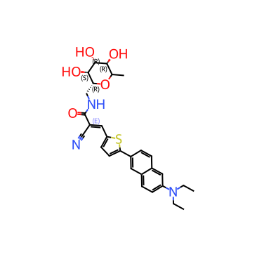 CCN(CC)c1ccc2cc(-c3ccc(/C=C(\C#N)C(=O)NC[C@H]4OC(C)[C@H](O)[C@@H](O)[C@@H]4O)s3)ccc2c1